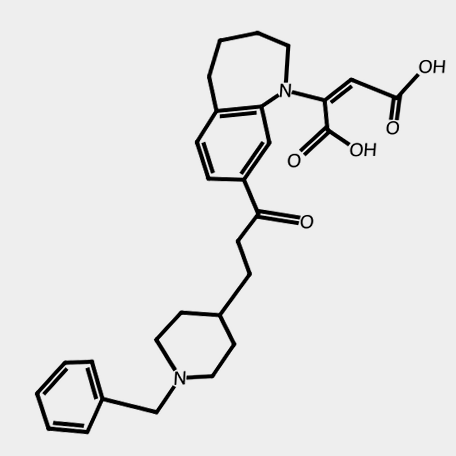 O=C(O)/C=C(\C(=O)O)N1CCCCc2ccc(C(=O)CCC3CCN(Cc4ccccc4)CC3)cc21